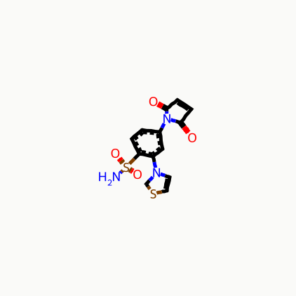 NS(=O)(=O)c1ccc(N2C(=O)C=CC2=O)cc1N1C=CSC1